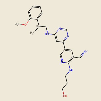 COc1ccccc1[C@H](C)CNc1cc(-c2cnc(NCCCO)c(C=N)c2)ncn1